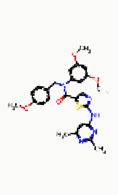 COc1ccc(CN(C(=O)c2cnc(Nc3cc(C)nc(C)n3)s2)c2cc(OC)cc(OC)c2)cc1